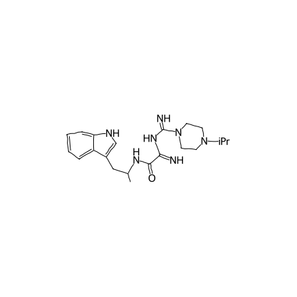 CC(Cc1c[nH]c2ccccc12)NC(=O)C(=N)NC(=N)N1CCN(C(C)C)CC1